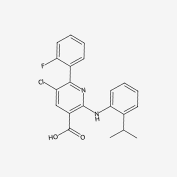 CC(C)c1ccccc1Nc1nc(-c2ccccc2F)c(Cl)cc1C(=O)O